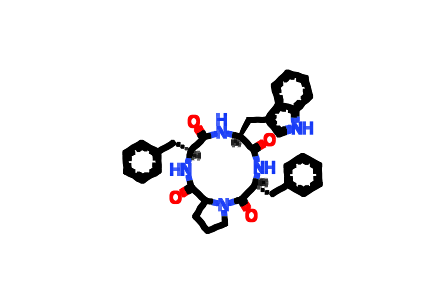 O=C1N[C@H](Cc2ccccc2)C(=O)N[C@@H](Cc2c[nH]c3ccccc23)C(=O)N[C@H](Cc2ccccc2)C(=O)N2CCCC12